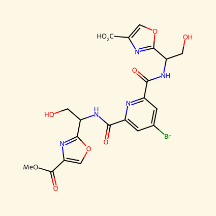 COC(=O)c1coc(C(CO)NC(=O)c2cc(Br)cc(C(=O)NC(CO)c3nc(C(=O)O)co3)n2)n1